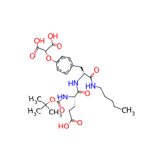 CCCCCNC(=O)[C@H](Cc1ccc(OC(C(=O)O)C(=O)O)cc1)NC(=O)[C@H](CCC(=O)O)NC(=O)OC(C)(C)C